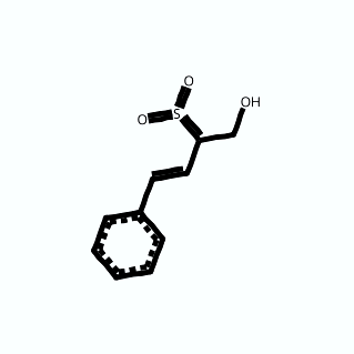 O=S(=O)=C(C=Cc1ccccc1)CO